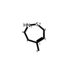 CC1=CCSNCC1